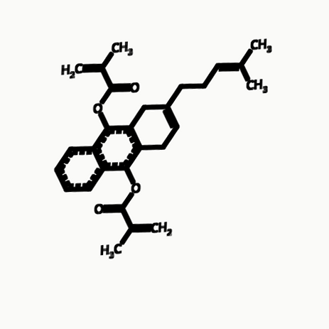 C=C(C)C(=O)Oc1c2c(c(OC(=O)C(=C)C)c3ccccc13)CC(CCC=C(C)C)=CC2